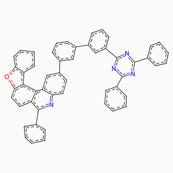 c1ccc(-c2nc(-c3ccccc3)nc(-c3cccc(-c4cccc(-c5ccc6nc(-c7ccccc7)c7ccc8oc9ccccc9c8c7c6c5)c4)c3)n2)cc1